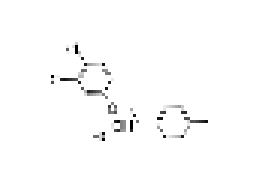 Cc1ccc(CCOc2ccc(Cl)c(Cl)c2)cc1.Cl.Cl